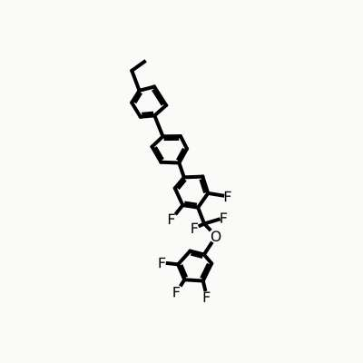 CCc1ccc(-c2ccc(-c3cc(F)c(C(F)(F)Oc4cc(F)c(F)c(F)c4)c(F)c3)cc2)cc1